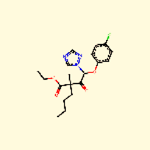 CCCCC(C)(C(=O)OCC)C(=O)C(Oc1ccc(Cl)cc1)n1cncn1